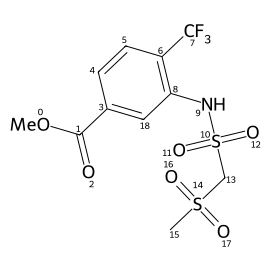 COC(=O)c1ccc(C(F)(F)F)c(NS(=O)(=O)CS(C)(=O)=O)c1